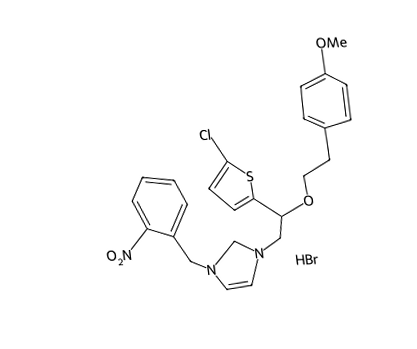 Br.COc1ccc(CCOC(CN2C=CN(Cc3ccccc3[N+](=O)[O-])C2)c2ccc(Cl)s2)cc1